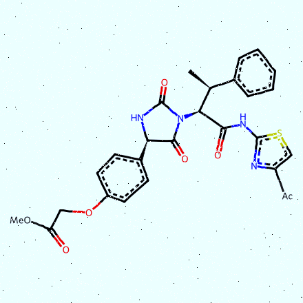 COC(=O)COc1ccc([C@H]2NC(=O)N([C@H](C(=O)Nc3nc(C(C)=O)cs3)[C@@H](C)c3ccccc3)C2=O)cc1